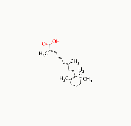 CC1=C(/C=C/C(C)=C/C=C/C=C(\C)C(=O)O)C(C)(C)CCC1